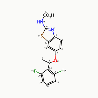 CC(Oc1ccc2nc(NC(=O)O)sc2c1)c1c(F)cccc1F